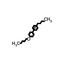 CC/C=C/COc1ccc(C23CCC(CCCCC)(CC2)CC3)cc1